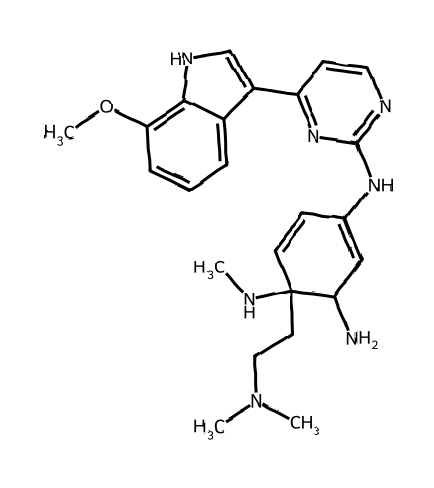 CNC1(CCN(C)C)C=CC(Nc2nccc(-c3c[nH]c4c(OC)cccc34)n2)=CC1N